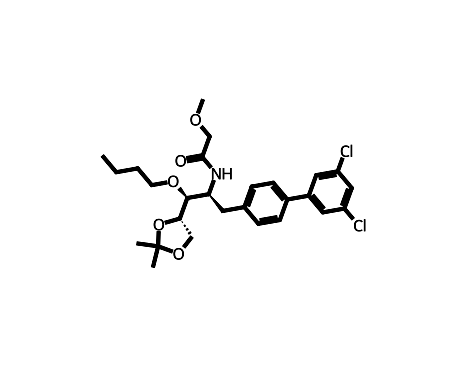 CCCCO[C@@H]([C@H](Cc1ccc(-c2cc(Cl)cc(Cl)c2)cc1)NC(=O)COC)[C@@H]1COC(C)(C)O1